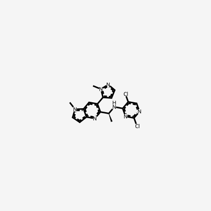 C[C@H](Nc1nc(Cl)ncc1Cl)c1nc2ccn(C)c2cc1-c1ccnn1C